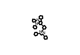 c1ccc(-c2cc(-c3ccccc3)nc(-c3cccc(-c4cc5c6c(c4)c4ccccc4n6-c4ccccc4N5c4ccccc4)c3)n2)cc1